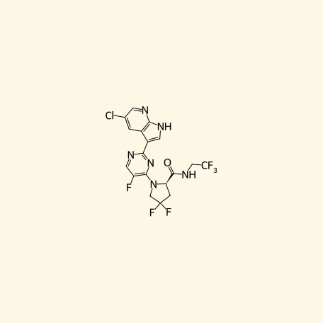 O=C(NCC(F)(F)F)[C@H]1CC(F)(F)CN1c1nc(-c2c[nH]c3ncc(Cl)cc23)ncc1F